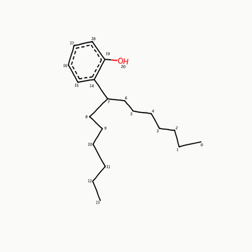 CCCCCCCC(CCCCCC)c1ccccc1O